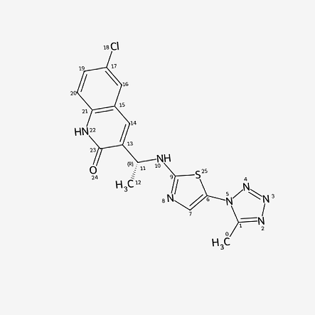 Cc1nnnn1-c1cnc(N[C@H](C)c2cc3cc(Cl)ccc3[nH]c2=O)s1